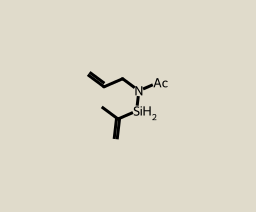 C=CCN([SiH2]C(=C)C)C(C)=O